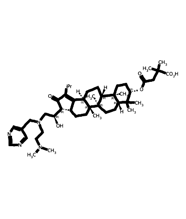 CC(C)C1=C2C(CC[C@]3(C)[C@@H]2CC[C@@H]2[C@@]4(C)CC[C@H](OC(=O)CC(C)(C)C(=O)O)C(C)(C)[C@@H]4CC[C@]23C)[C@H]([C@@H](O)CN(CCN(C)C)Cc2cncnc2)C1=O